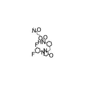 CN(C)C(=O)CCOC(=O)Nc1cccc(Cc2nn(-c3cc(F)cc(F)c3)ccc2=O)c1